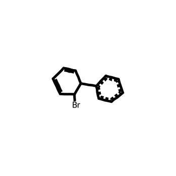 BrC1C=CC=CC1c1ccccc1